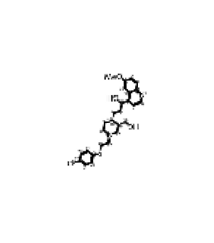 COc1ccc2nccc(C(O)CC[C@@H]3CCN(CCSc4ccc(Cl)cc4)C[C@@H]3CO)c2c1